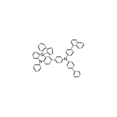 c1ccc(-c2ccc(N(c3ccc(-c4ccc5c(c4)[Si](c4ccccc4)(c4ccccc4)c4ccccc4N5c4ccccc4)cc3)c3ccc(-c4cccc5ccccc45)cc3)cc2)cc1